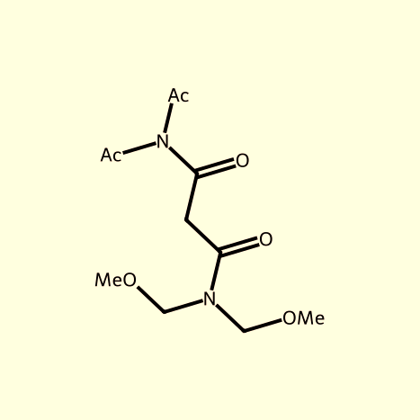 COCN(COC)C(=O)CC(=O)N(C(C)=O)C(C)=O